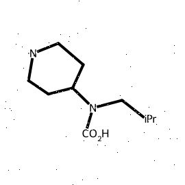 CC(C)CN(C(=O)O)C1CC[N]CC1